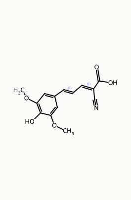 COc1cc(/C=C/C=C(\C#N)C(=O)O)cc(OC)c1O